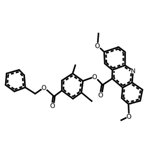 COc1ccc2nc3ccc(OC)cc3c(C(=O)Oc3c(C)cc(C(=O)OCc4ccccc4)cc3C)c2c1